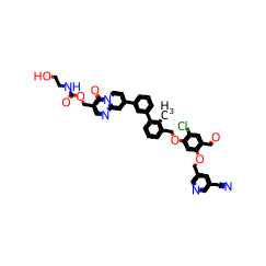 Cc1c(COc2cc(OCc3cncc(C#N)c3)c(C=O)cc2Cl)cccc1-c1cccc(-c2ccn3c(=O)c(COC(=O)NCCO)cnc3c2)c1